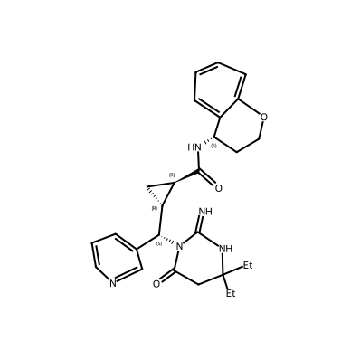 CCC1(CC)CC(=O)N([C@H](c2cccnc2)[C@@H]2C[C@H]2C(=O)N[C@H]2CCOc3ccccc32)C(=N)N1